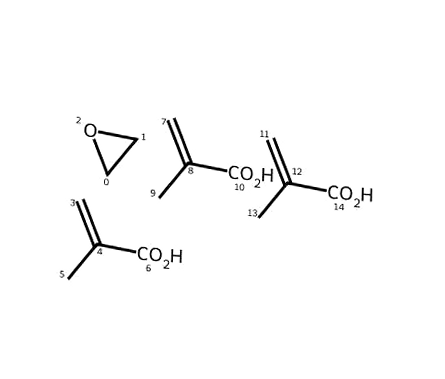 C1CO1.C=C(C)C(=O)O.C=C(C)C(=O)O.C=C(C)C(=O)O